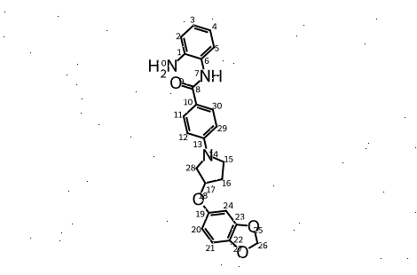 Nc1ccccc1NC(=O)c1ccc(N2CCC(Oc3ccc4c(c3)OCO4)C2)cc1